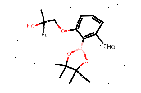 CCC(C)(O)COc1cccc(C=O)c1B1OC(C)(C)C(C)(C)O1